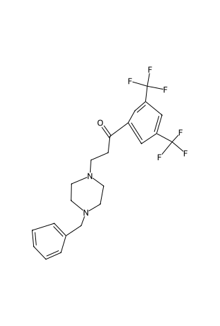 O=C(CCN1CCN(Cc2ccccc2)CC1)c1cc(C(F)(F)F)cc(C(F)(F)F)c1